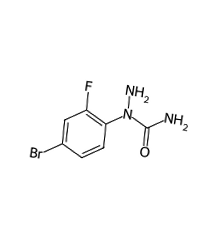 NC(=O)N(N)c1ccc(Br)cc1F